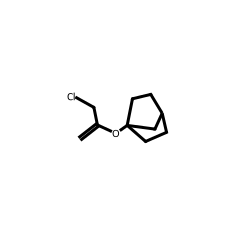 C=C(CCl)OC12CCC(CC1)C2